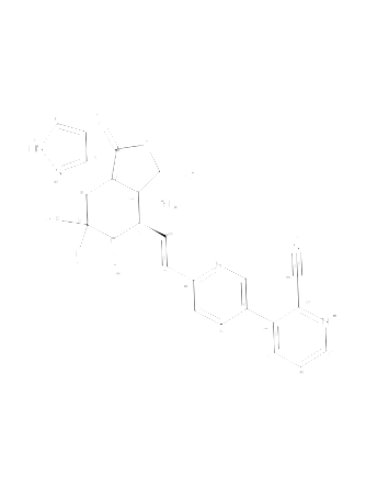 C[C@H]1OC(=O)[C@]2(c3cc[nH]n3)CC(F)(F)[C@@H](C)[C@H](C=Cc3ccc(-c4cccnc4C#N)cn3)[C@H]12